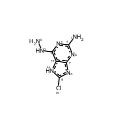 NNc1nc(N)nc2nc(Cl)[nH]c12